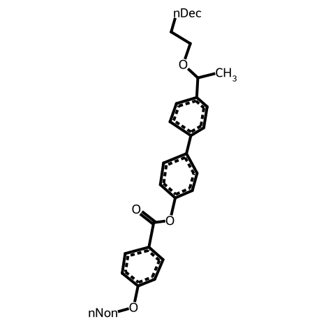 CCCCCCCCCCCCOC(C)c1ccc(-c2ccc(OC(=O)c3ccc(OCCCCCCCCC)cc3)cc2)cc1